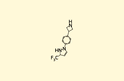 FC(F)(F)C1C=CN(c2ccc(C3CNC3)cc2)N1